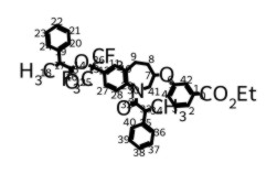 CCOC(=O)c1cccc(OC2CCc3cc(C(OC(=O)C(C)c4ccccc4)(C(F)(F)F)C(F)(F)F)ccc3N(C(=O)C(C)c3ccccc3)C2)c1